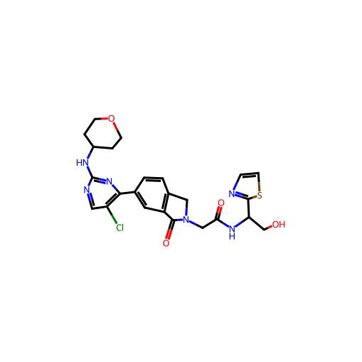 O=C(CN1Cc2ccc(-c3nc(NC4CCOCC4)ncc3Cl)cc2C1=O)NC(CO)c1nccs1